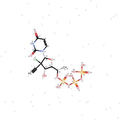 C#CC1(Cl)[C@@H](O)[C@@H]([C@H](C)OP(=O)(O)OP(=O)(O)OP(=O)(O)O)O[C@H]1n1ccc(=O)[nH]c1=O